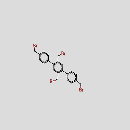 BrCc1ccc(-c2cc(CBr)c(-c3ccc(CBr)cc3)cc2CBr)cc1